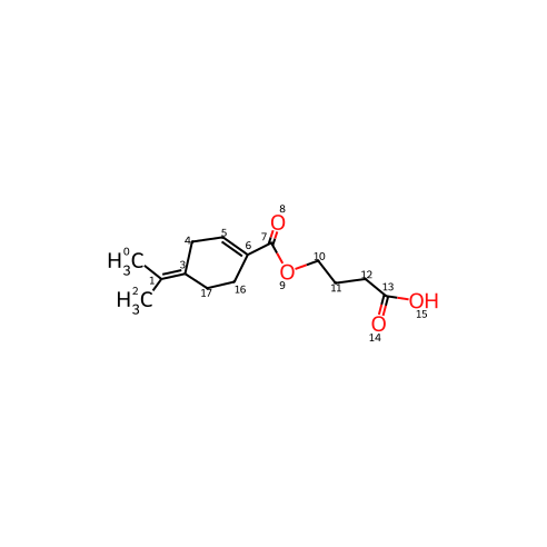 CC(C)=C1CC=C(C(=O)OCCCC(=O)O)CC1